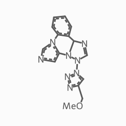 COCc1cn(N2C=NC3c4ccccc4-n4cncc4N32)nn1